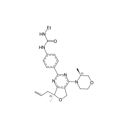 C=CC[C@]1(C)OCc2c(N3CCOC[C@@H]3C)nc(-c3ccc(NC(=O)NCC)cc3)nc21